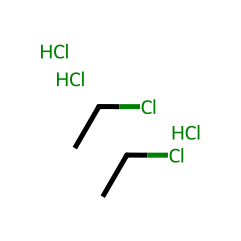 CCCl.CCCl.Cl.Cl.Cl